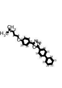 CN(C)CCCOc1ccc(-c2nnc(-c3ccc(-c4ccccc4)cc3)o2)cc1